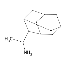 CC(N)C1C2CC3CC(C2)CC1C3